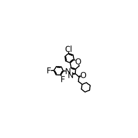 O=C(CC1CCCCC1)c1nn(-c2ccc(F)cc2F)c2c1COc1cc(Cl)ccc1-2